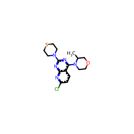 CC1COCCN1c1nc(N2CCSCC2)nc2nc(Cl)ccc12